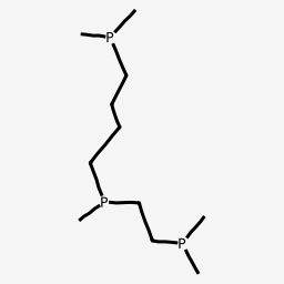 CP(C)CCCCP(C)CCP(C)C